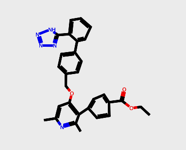 CCOC(=O)c1ccc(-c2c(OCc3ccc(-c4ccccc4-c4nnn[nH]4)cc3)cc(C)nc2C)cc1